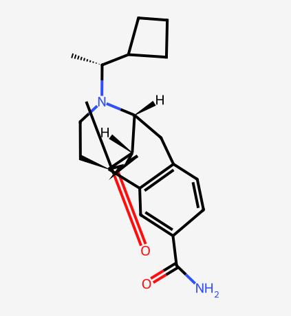 C[C@H](C1CCC1)N1CC[C@]23CC(=O)CC[C@H]2[C@H]1Cc1ccc(C(N)=O)cc13